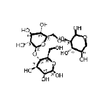 OC1OC[C@@H](O)[C@H](O)[C@H]1O.OC[C@H]1O[C@@H](O[C@H]2[C@H](O)[C@@H](O)[C@H](O)O[C@@H]2CO)[C@H](O)[C@@H](O)[C@@H]1O